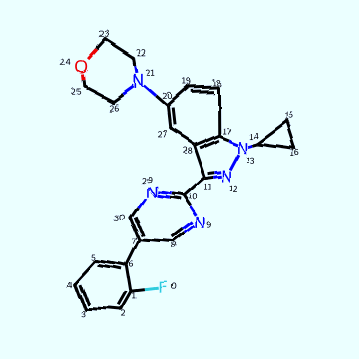 Fc1ccccc1-c1cnc(-c2nn(C3CC3)c3ccc(N4CCOCC4)cc23)nc1